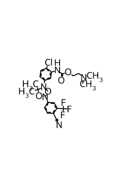 CN(C)CCOC(=O)Nc1cc(N2ON(c3ccc(C#N)c(C(F)(F)F)c3)OC2(C)C)ccc1Cl